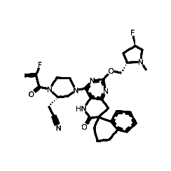 C=C(F)C(=O)N1CCN(c2nc(OC[C@@H]3C[C@@H](F)CN3C)nc3c2NC(=O)C2(CCCc4ccccc42)C3)C[C@@H]1CC#N